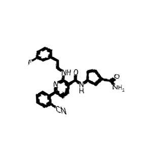 N#Cc1ccccc1-c1ccc(C(=O)NC2CCC(C(N)=O)C2)c(NCCc2cccc(F)c2)n1